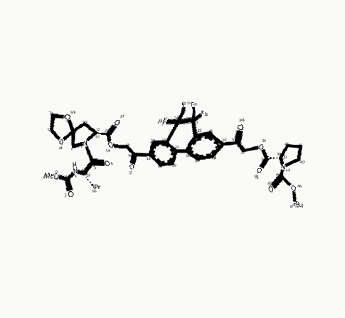 COC(=O)N[C@H](C(=O)N1CC2(C[C@H]1C(=O)OCC(=O)c1ccc3c(c1)C(F)(F)C(F)(F)c1cc(C(=O)COC(=O)[C@@H]4CCCN4C(=O)OC(C)(C)C)ccc1-3)OCCO2)C(C)C